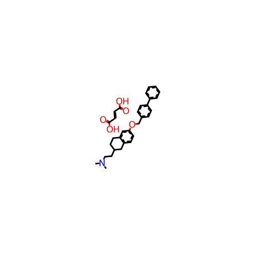 CN(C)CCC1CCc2cc(OCc3ccc(-c4ccccc4)cc3)ccc2C1.O=C(O)C=CC(=O)O